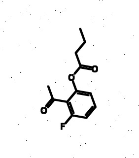 CCCC(=O)Oc1cccc(F)c1C(C)=O